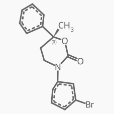 C[C@]1(c2ccccc2)CCN(c2cccc(Br)c2)C(=O)O1